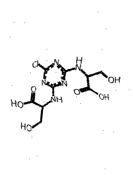 O=C(O)C(CO)Nc1nc(Cl)nc(NC(CO)C(=O)O)n1